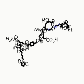 CC[C@H](O)[C@@H](C)[C@H]1O[C@@H]1CC(C)(O)/C=C/C=C(\C)[C@H]1OC(=O)C[C@H](O)CC[C@@](C)(OC)[C@@H](OC(=O)N2CCN(C(=O)OCc3ccc(NC(=O)C(CCCNC(N)=O)NC(=O)C(NC(=O)CCCCCN4C(=O)C=CC4=O)C(C)C)cc3)C(CCC(=O)O)C2)/C=C/[C@@H]1C